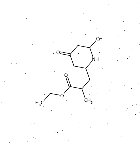 CCOC(=O)C(C)CC1CC(=O)CC(C)N1